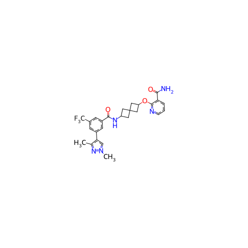 Cc1nn(C)cc1-c1cc(C(=O)NC2CC3(C2)CC(Oc2ncccc2C(N)=O)C3)cc(C(F)(F)F)c1